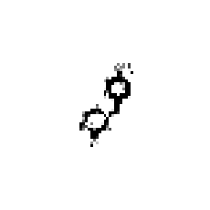 Nc1ccc(CN2CCNC(=O)C2)nc1